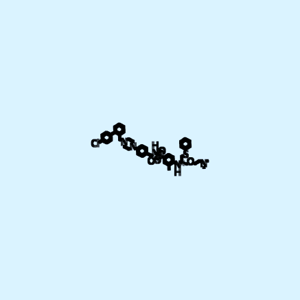 Cc1cc(S(=O)(=O)NC(=O)c2ccc(N3CCN(Cc4ccccc4-c4ccc(Cl)cc4)CC3)cc2)ccc1N[C@H](COCCN(C)C)CSc1ccccc1